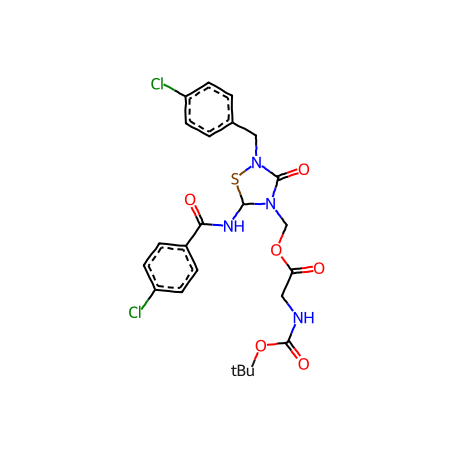 CC(C)(C)OC(=O)NCC(=O)OCN1C(=O)N(Cc2ccc(Cl)cc2)SC1NC(=O)c1ccc(Cl)cc1